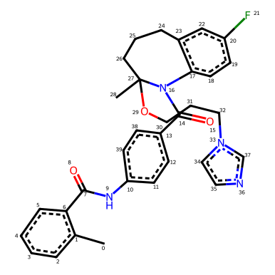 Cc1ccccc1C(=O)Nc1ccc(C(=O)N2c3ccc(F)cc3CCCC2(C)OCCCn2ccnc2)cc1